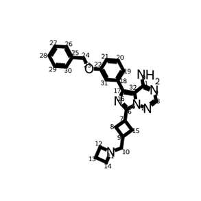 Nc1ncnn2c(C3CC(CN4CCC4)C3)nc(-c3cccc(OCc4ccccc4)c3)c12